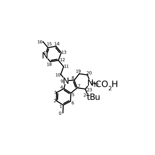 Cc1ccc2c(c1)c1c(n2CCc2ccc(C)nc2)CCN(C(=O)O)C1C(C)(C)C